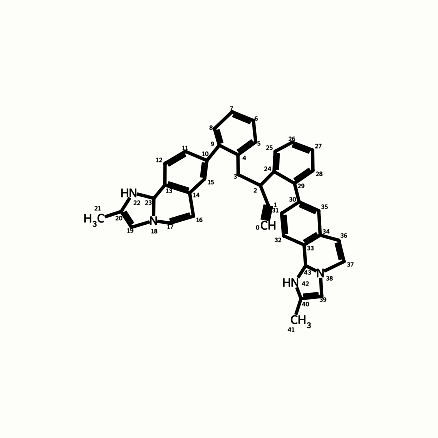 C#CC(Cc1ccccc1-c1ccc2c(c1)C=CN1C=C(C)NC21)c1ccccc1-c1ccc2c(c1)C=CN1C=C(C)NC21